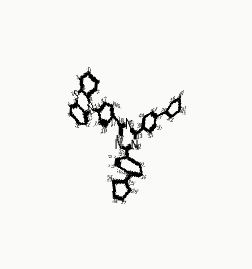 c1ccc2c(c1)Sc1ccccc1N2c1ccc(-c2nc(-c3ccc(C4CCCC4)cc3)nc(-c3ccc(C4CCCC4)cc3)n2)cc1